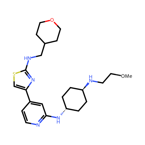 COCCN[C@H]1CC[C@H](Nc2cc(-c3csc(NCC4CCOCC4)n3)ccn2)CC1